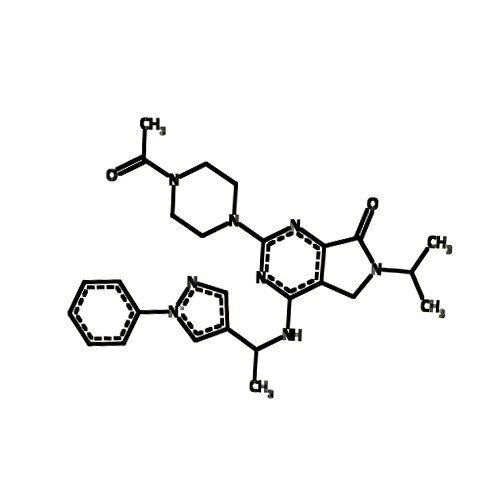 CC(=O)N1CCN(c2nc(NC(C)c3cnn(-c4ccccc4)c3)c3c(n2)C(=O)N(C(C)C)C3)CC1